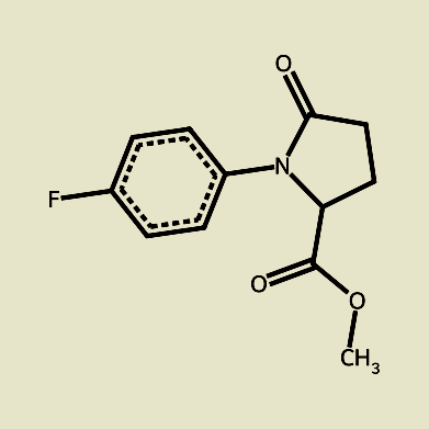 COC(=O)C1CCC(=O)N1c1ccc(F)cc1